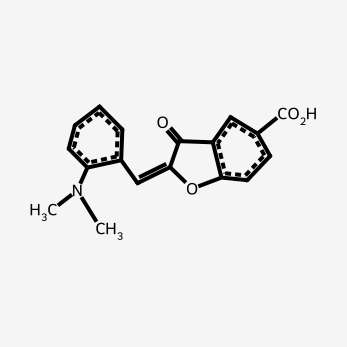 CN(C)c1ccccc1C=C1Oc2ccc(C(=O)O)cc2C1=O